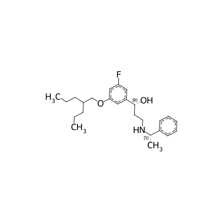 CCCC(CCC)COc1cc(F)cc([C@H](O)CCN[C@@H](C)c2ccccc2)c1